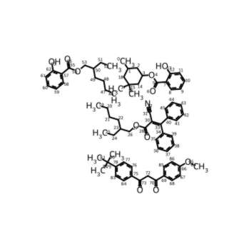 CC1CC(OC(=O)c2ccccc2O)CC(C)(C)C1.CCCCC(CC)COC(=O)C(C#N)=C(c1ccccc1)c1ccccc1.CCCCC(CC)COC(=O)c1ccccc1O.COc1ccc(C(=O)CC(=O)c2ccc(C(C)(C)C)cc2)cc1